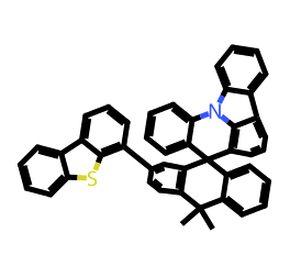 CC1(C)c2ccccc2C2(c3ccccc3-n3c4ccccc4c4cccc2c43)c2cc(-c3cccc4c3sc3ccccc34)ccc21